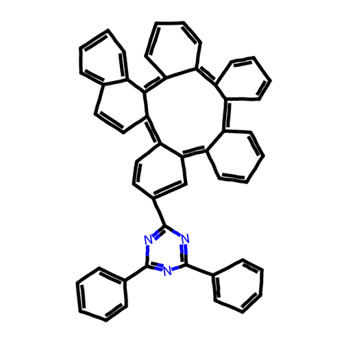 c1ccc(-c2nc(-c3ccccc3)nc(-c3ccc4c(c3)c3ccccc3c3ccccc3c3ccccc3c3c5ccccc5ccc43)n2)cc1